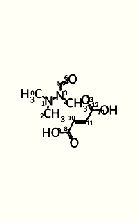 CN(C)N(C)C=O.O=C(O)/C=C/C(=O)O